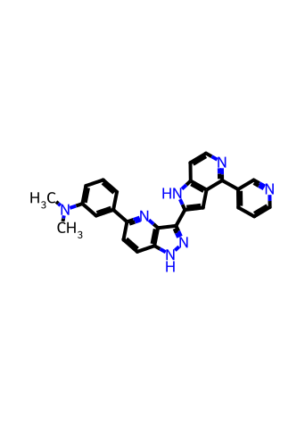 CN(C)c1cccc(-c2ccc3[nH]nc(-c4cc5c(-c6cccnc6)nccc5[nH]4)c3n2)c1